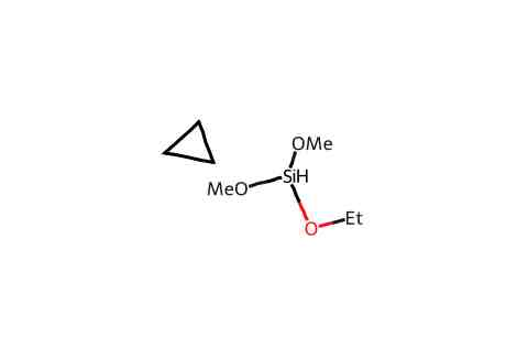 C1CC1.CCO[SiH](OC)OC